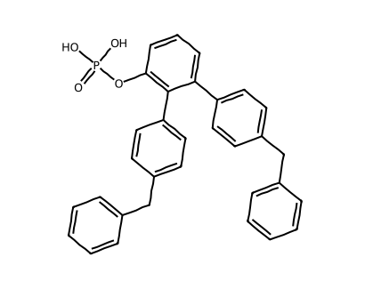 O=P(O)(O)Oc1cccc(-c2ccc(Cc3ccccc3)cc2)c1-c1ccc(Cc2ccccc2)cc1